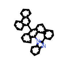 c1ccc(-c2nc3ccccc3n2-c2c3ccccc3c(-c3cc4ccccc4c4ccccc34)c3ccccc23)cc1